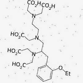 CCOc1ccccc1CC(CN(CCN(CC(=O)O)CC(=O)O)CC(=O)O)N(CC(=O)O)CC(=O)O